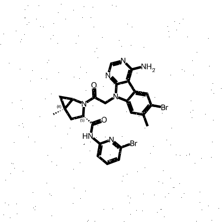 Cc1cc2c(cc1Br)c1c(N)ncnc1n2CC(=O)N1C2C[C@]2(C)C[C@H]1C(=O)Nc1cccc(Br)n1